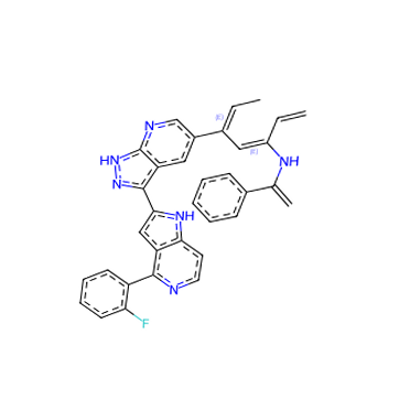 C=C/C(=C\C(=C/C)c1cnc2[nH]nc(-c3cc4c(-c5ccccc5F)nccc4[nH]3)c2c1)NC(=C)c1ccccc1